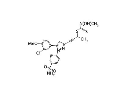 COc1ccc(-c2cc(C#CC(C)SC(=S)N(C)O)nn2-c2ccc(S(N)(=O)=O)cc2)cc1Cl